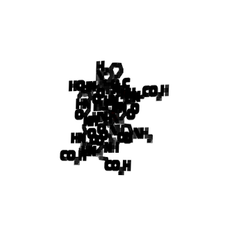 CC[C@H](C)[C@H](NC(=O)[C@H](CCCNC(=N)N)NC(=O)[C@H](CO)NC(=O)[C@H](CCC(=O)O)NC(=O)[C@H](CC(=O)O)NC(=O)CNC(=O)CNC(=O)[C@@H](NC(=O)[C@@H](N)Cc1ccccc1)[C@@H](C)O)C(=O)N[C@@H](CCC(N)=O)C(=O)N[C@@H](CCC(=O)O)C(=O)NCC(=O)O